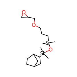 C[Si](C)(CCCOCC1CO1)O[Si](C)(C)C1CC2CCC1C2